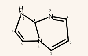 C1=CN2C=CNC2N=C1